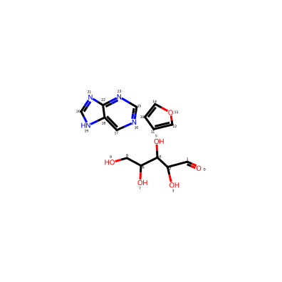 O=CC(O)C(O)C(O)CO.c1ccoc1.c1ncc2[nH]cnc2n1